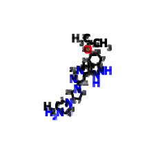 C=CN(/C=C\N)C1CCN(c2cc([C@@H]3NNC4CC=C(OC(C)C)C[C@@H]43)ncn2)C1